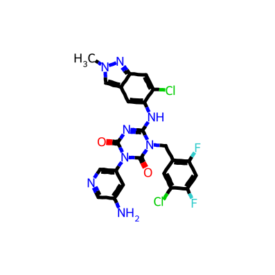 Cn1cc2cc(Nc3nc(=O)n(-c4cncc(N)c4)c(=O)n3Cc3cc(Cl)c(F)cc3F)c(Cl)cc2n1